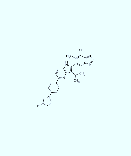 Cc1c(-c2[nH]c3ccc(C4CCC(N5CCC(F)C5)CC4)nc3c2C(C)C)cn2ncnc2c1C